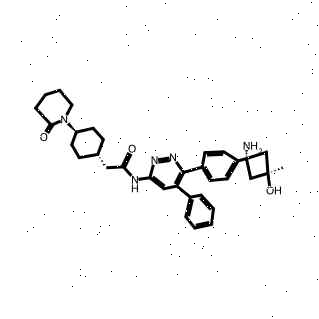 C[C@]1(O)C[C@@](N)(c2ccc(-c3nnc(NC(=O)C[C@H]4CC[C@H](N5CCCCC5=O)CC4)cc3-c3ccccc3)cc2)C1